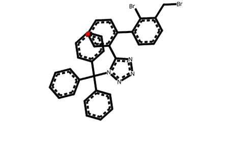 BrCc1cccc(-c2ccccc2-c2nnnn2C(c2ccccc2)(c2ccccc2)c2ccccc2)c1Br